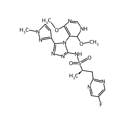 COC1=C(n2c(NS(=O)(=O)[C@H](C)Cc3ncc(F)cn3)nnc2-c2ccn(C)n2)C(OC)NC=N1